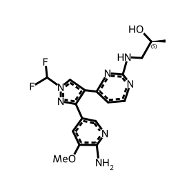 COc1cc(-c2nn(C(F)F)cc2-c2ccnc(NC[C@H](C)O)n2)cnc1N